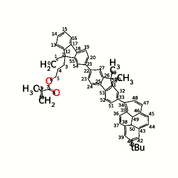 C=CC1(CCCOC(=O)C(=C)C)c2ccccc2-c2ccc(-c3ccc4c(c3)C(C)(C)c3cc(C5=C6C=CC7=CC(C(C)(C)C)=CC8=CC=C(C=C5)C6C87)ccc3-4)cc21